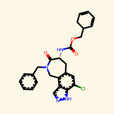 O=C(N[C@@H]1Cc2cc(Cl)c3[nH]ncc3c2CN(Cc2ccccc2)C1=O)OCC1C=CC=CC1